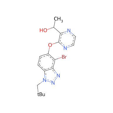 CC(O)c1nccnc1Oc1ccc2c(nnn2CC(C)(C)C)c1Br